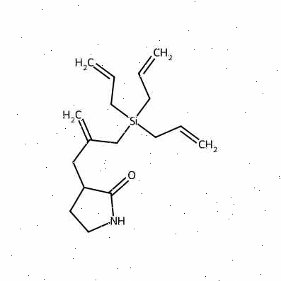 C=CC[Si](CC=C)(CC=C)CC(=C)CC1CCNC1=O